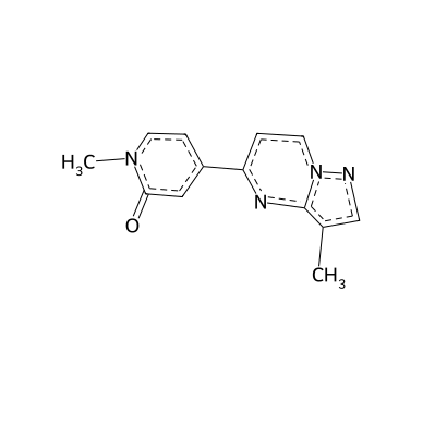 Cc1cnn2ccc(-c3ccn(C)c(=O)c3)nc12